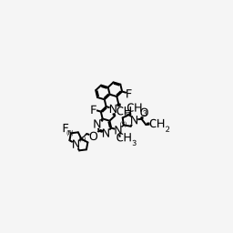 C#Cc1c(F)ccc2cccc(-c3ncc4c(N(C)[C@H]5C[C@@H](C)N(C(=O)C=C)C5)nc(OC[C@@]56CCCN5C[C@H](F)C6)nc4c3F)c12